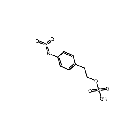 O=S(=O)=Nc1ccc(CCOS(=O)(=O)O)cc1